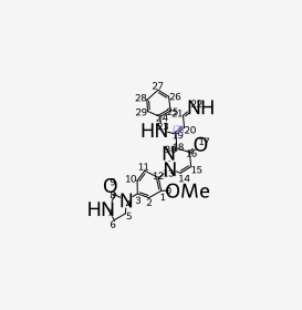 COc1cc(N2CCNC2=O)ccc1-n1ccc(=O)c(/C(=C/C=N)Nc2ccccc2)n1